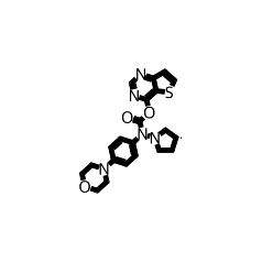 O=C(Oc1ncnc2ccsc12)N(c1ccc(N2CCOCC2)cc1)N1C[CH]CC1